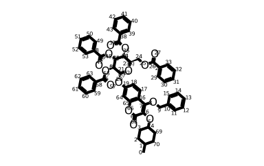 CC1CCC(Oc2c(OCc3ccccc3)c3ccc(O[C@H]4O[C@H](COC(=O)c5ccccc5)[C@@H](OC(=O)c5ccccc5)[C@H](OC(=O)c5ccccc5)[C@@H]4OC(=O)c4ccccc4)cc3oc2=O)CC1